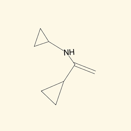 C=C(NC1CC1)C1CC1